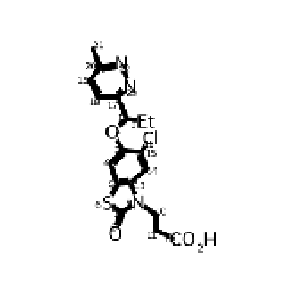 CCC(Oc1cc2sc(=O)n(CCC(=O)O)c2cc1Cl)c1ccc(C)nn1